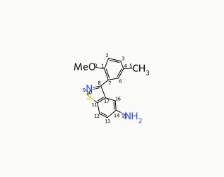 COc1ccc(C)cc1-c1nsc2ccc(N)cc12